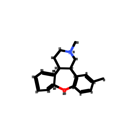 Cc1ccc2c(c1)C1CN(C)CCC1c1ccccc1O2